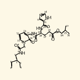 CCC(CC)CNC(=O)Cn1cccc(NC(=O)[C@H](CCC(=O)OCC(C)C)NC(=O)c2cnc[nH]2)c1=O